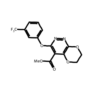 COC(=O)c1c(Oc2cccc(C(F)(F)F)c2)nnc2c1OCCO2